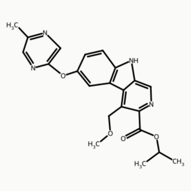 COCc1c(C(=O)OC(C)C)ncc2[nH]c3ccc(Oc4cnc(C)cn4)cc3c12